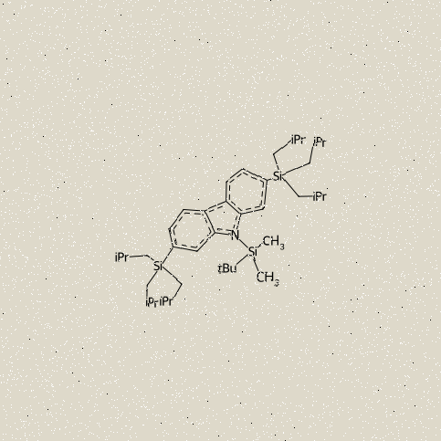 CC(C)C[Si](CC(C)C)(CC(C)C)c1ccc2c3ccc([Si](CC(C)C)(CC(C)C)CC(C)C)cc3n([Si](C)(C)C(C)(C)C)c2c1